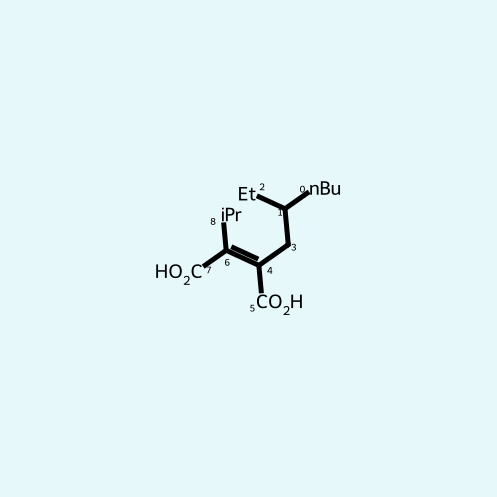 CCCCC(CC)CC(C(=O)O)=C(C(=O)O)C(C)C